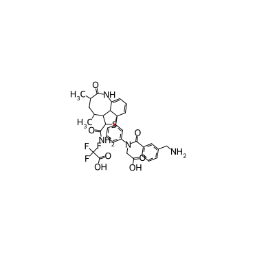 CC1CC(C)C2C(C(N)=O)SC3(c4cccc(N(CC(=O)O)C(=O)c5cccc(CN)c5)c4)C=CC=C(NC1=O)C23.O=C(O)C(F)(F)F